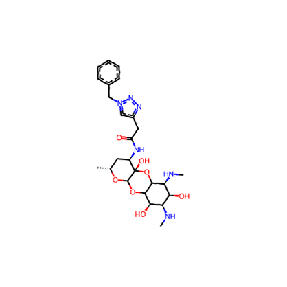 CN[C@@H]1[C@H](O)[C@H](NC)C2O[C@]3(O)C(OC2[C@@H]1O)O[C@H](C)C[C@H]3NC(=O)Cc1cn(Cc2ccccc2)nn1